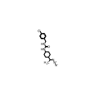 CC(N=[N+]=[N-])C1CCC(NC(=O)NCc2ccc(Cl)cc2)CC1